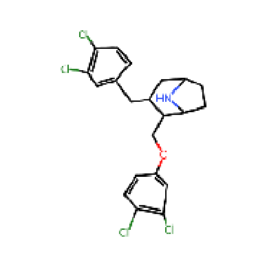 Clc1ccc(CC2CC3CCC(N3)C2COc2ccc(Cl)c(Cl)c2)cc1Cl